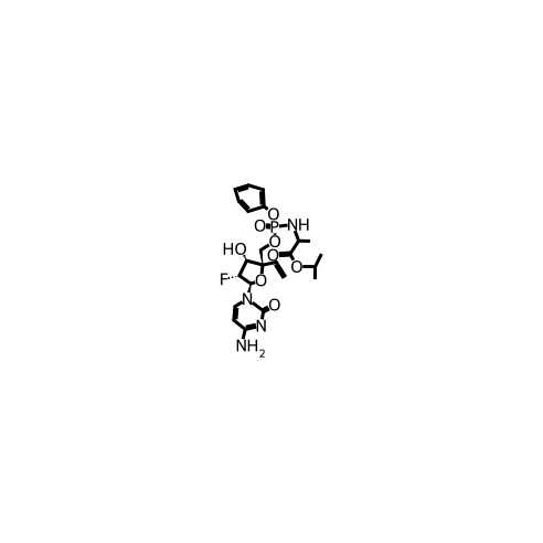 C=C[C@]1(COP(=O)(NC(C)C(=O)OC(C)C)Oc2ccccc2)O[C@@H](n2ccc(N)nc2=O)[C@H](F)[C@@H]1O